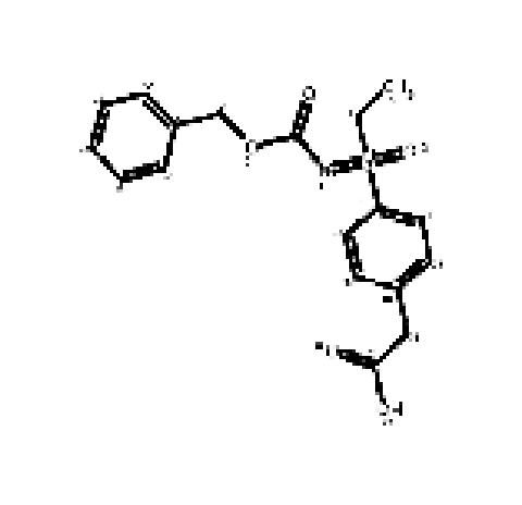 CCS(=O)(=NC(=O)OCc1ccccc1)c1ccc(CC(=O)O)cc1